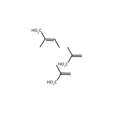 C=C(C)C(=O)O.C=C(C)C(=O)O.CC=C(C)C(=O)O